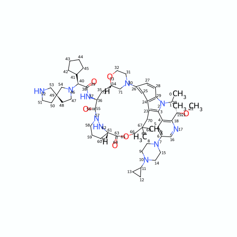 CCn1c(-c2cc(N3CCN(C4CC4)CC3)cnc2[C@H](C)OC)c2c3cc(ccc31)N1CCO[C@@H](C[C@H](NC(=O)[C@H](C3CCCC3)N3CC[C@]4(CCNC4)C3)C(=O)N3CCC[C@H](N3)C(=O)OCC(C)(C)C2)C1